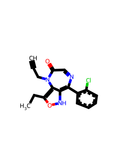 C#CCN1C(=O)C=NC(c2ccccc2Cl)=C2NOC(CC)=C21